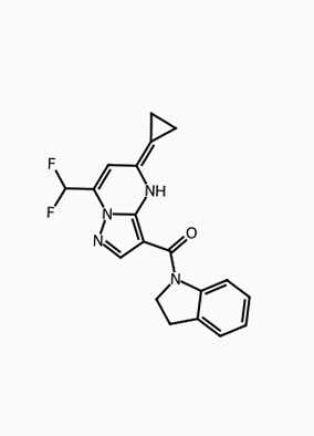 O=C(c1cnn2c1NC(=C1CC1)C=C2C(F)F)N1CCc2ccccc21